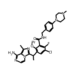 Cc1nc(C(C)c2cc(Cl)c(F)c(C(=O)NCc3ccc(N4CCN(C)CC4)cc3)c2OC(C)C)n2ccnc(N)c12